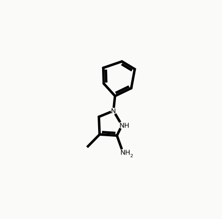 CC1=C(N)NN(c2ccccc2)C1